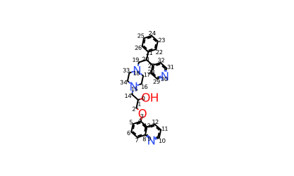 OC(COc1cccc2ncccc12)CN1CCN(CC(c2ccccc2)c2ccncc2)CC1